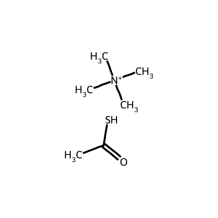 CC(=O)S.C[N+](C)(C)C